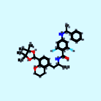 CC1(C)OB(c2ccc(CC(NC(=O)c3c(F)cc(NC(c4ccccc4)C(F)(F)F)cc3F)C(=O)O)c3c2OCCC3)OC1(C)C